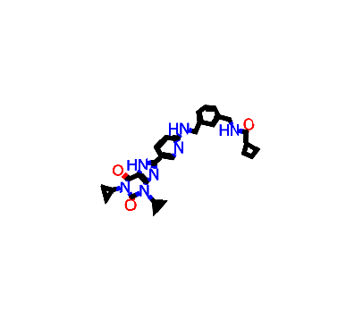 O=C(NCc1cccc(CNc2ccc(-c3nc4c([nH]3)c(=O)n(C3CC3)c(=O)n4C3CC3)cn2)c1)C1CCC1